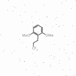 COc1cccc(OC)c1CCC(F)(F)F